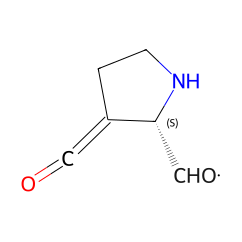 O=[C][C@H]1NCCC1=C=O